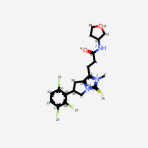 Cn1c(CCC(=O)NC2CCOC2)c2n(c1=S)CC(c1c(F)ccc(F)c1F)C2